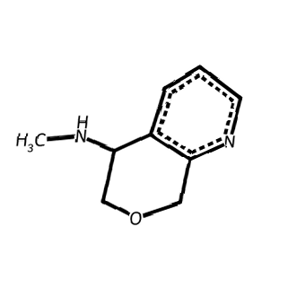 CNC1COCc2ncccc21